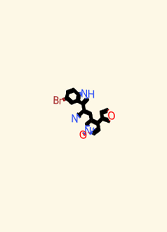 N#CC(=Cc1c[n+]([O-])ccc1-c1ccoc1)c1c[nH]c2ccc(Br)cc12